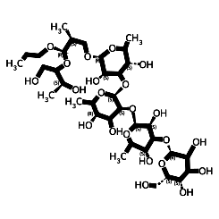 CCCO[C@H](OC(CO)[C@H](C)O)[C@@H](C)CO[C@@H]1OC(C)[C@H](O)C(O[C@@H]2OC(C)[C@H](O)C(O)[C@@H]2O[C@@H]2OC(C)[C@H](O)C(O[C@H]3O[C@@H](CO)[C@@H](O)C(O)C3O)[C@@H]2O)[C@@H]1O